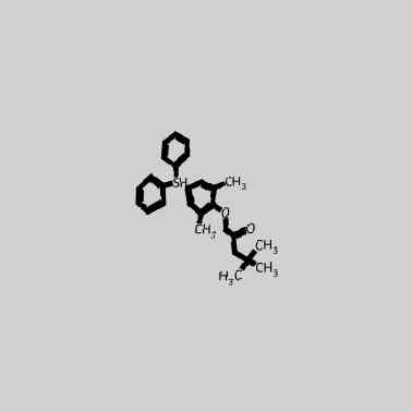 Cc1cc([SH](c2ccccc2)c2ccccc2)cc(C)c1OCC(=O)CC(C)(C)C